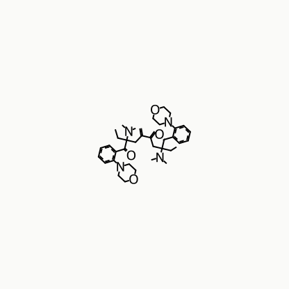 C=C(CC(CC)(C(=O)c1ccccc1N1CCOCC1)N(C)C)C(=C)CC(CC)(C(=O)c1ccccc1N1CCOCC1)N(C)C